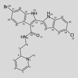 CN1C=CC=CC1CCNC(=O)c1c(-c2cc3cc(Cl)ccc3[nH]2)[nH]c2cc(Br)ccc12